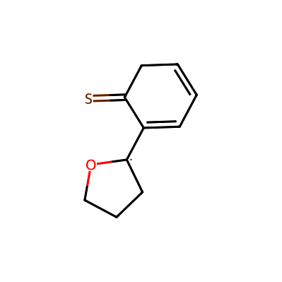 S=C1CC=CC=C1[C]1CCCO1